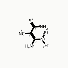 CCN(CC)/C(N)=C(/C#N)C(N)=S